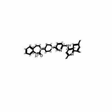 Cc1cc(C)c2nc(C)cc(Nc3ccc(N4CCC(N5CCc6ccccc6NC5=O)CC4)cn3)c2c1